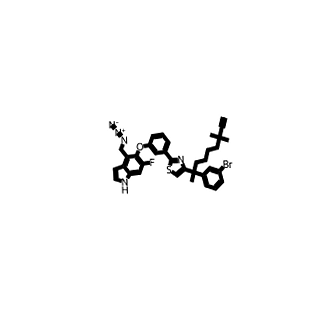 C#CC(C)(C)CCCCC(C)(c1cccc(Br)c1)c1csc(-c2cccc(Oc3c(F)cc4[nH]ccc4c3CN=[N+]=[N-])c2)n1